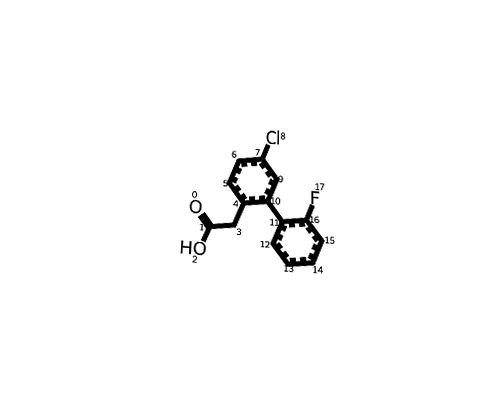 O=C(O)Cc1ccc(Cl)cc1-c1ccccc1F